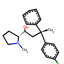 CN1CCC[C@@H]1C(O)C[C@](C)(c1ccccc1)c1ccc(Cl)cc1